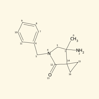 CC1(N)CN(Cc2ccccc2)C(=O)C12CC2